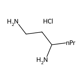 CCCC(N)CCN.Cl